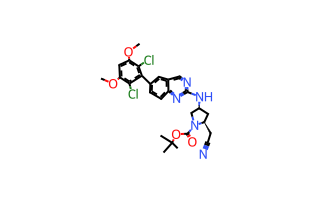 COc1cc(OC)c(Cl)c(-c2ccc3nc(N[C@H]4C[C@@H](CC#N)N(C(=O)OC(C)(C)C)C4)ncc3c2)c1Cl